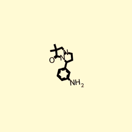 CC1(C)CN2CCC(c3cccc(N)c3)N2C1=O